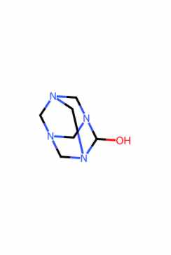 OC1N2CN3CN(C2)CN1C3